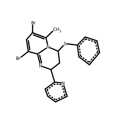 CC1=C(Br)C=C(Br)C2=NC(c3ccccn3)CC(Sc3ccccc3)N21